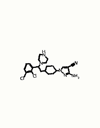 N#Cc1cn(C2CCC(CC(c3cccc(Cl)c3Cl)N3CCNCC3)CC2)nc1N